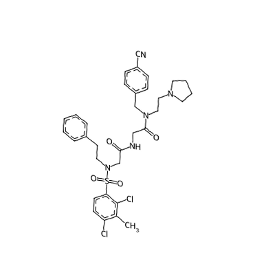 Cc1c(Cl)ccc(S(=O)(=O)N(CCc2ccccc2)CC(=O)NCC(=O)N(CCN2CCCC2)Cc2ccc(C#N)cc2)c1Cl